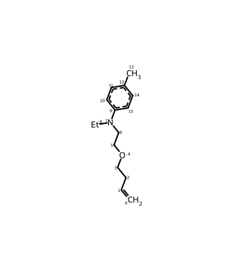 C=CCCOCCN(CC)c1ccc(C)cc1